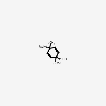 CNC1(C)C=CC(C=O)(NC)C=C1